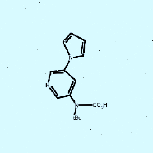 CC(C)(C)N(C(=O)O)c1cncc(-n2cccc2)c1